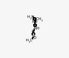 CCCC(=O)N1CCC(OCCNc2ccc(-c3nc4cc(N)cc(C)c4o3)cc2)CC1